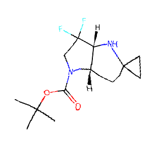 CC(C)(C)OC(=O)N1CC(F)(F)[C@@H]2NC3(CC3)C[C@@H]21